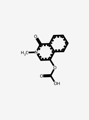 Cn1cc(OC(=O)O)c2ccccc2c1=O